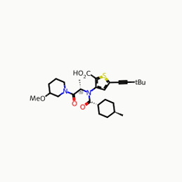 COC1CCCN(C(=O)[C@H](C)N(c2cc(C#CC(C)(C)C)sc2C(=O)O)C(=O)[C@H]2CC[C@H](C)CC2)C1